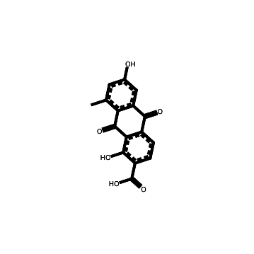 Cc1cc(O)cc2c1C(=O)c1c(ccc(C(=O)O)c1O)C2=O